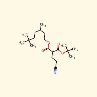 CC(CCOC(=O)C(CCC#N)C(=O)OC(C)(C)C)CCC(C)(C)C